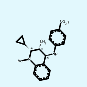 CC(=O)N1c2ccccc2[C@H](Nc2ccc(C(=O)O)cc2)[C@@H](C)[C@H]1C1CC1